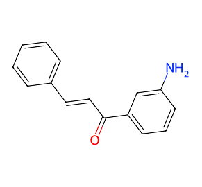 Nc1cccc(C(=O)/C=C/c2ccccc2)c1